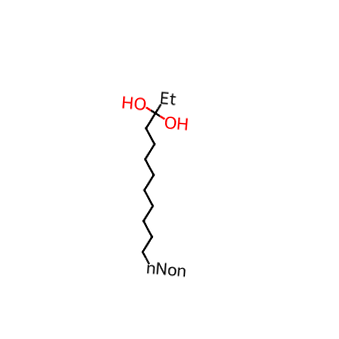 CCCCCCCCCCCCCCCCCCC(O)(O)CC